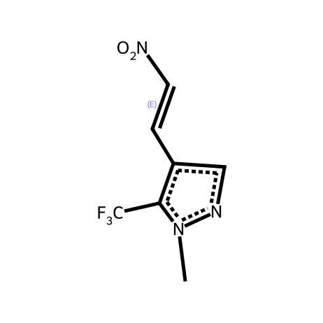 Cn1ncc(/C=C/[N+](=O)[O-])c1C(F)(F)F